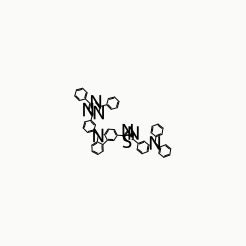 c1ccc(-c2nc(-c3ccccc3)nc(-c3cccc(-n4c5ccccc5c5cc(-c6nnc(-c7cccc(N(c8ccccc8)c8ccccc8)c7)s6)ccc54)c3)n2)cc1